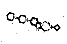 c1cc2c(cc1N1CCC(N3CCCCC3)CC1)nc1n2CCN(C2CCC2)CC1